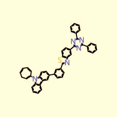 C1=CCC=C(n2c3ccccc3c3cc(-c4cccc(-c5nc6cc(-c7nc(-c8ccccc8)nc(-c8ccccc8)n7)ccc6s5)c4)ccc32)C=C1